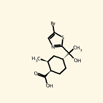 C[C@H]1C[C@H](C(C)(O)c2ncc(Br)s2)CC[C@H]1C(=O)O